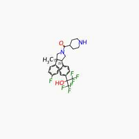 C[C@]1(c2ccc(F)cc2)CN(C(=O)C2CCNCC2)C[C@H]1c1ccc(C(O)(C(F)(F)F)C(F)(F)F)cc1